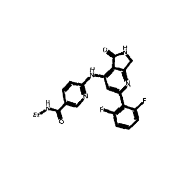 CCNC(=O)c1ccc(Nc2cc(-c3c(F)cccc3F)nc3c2C(=O)NC3)nc1